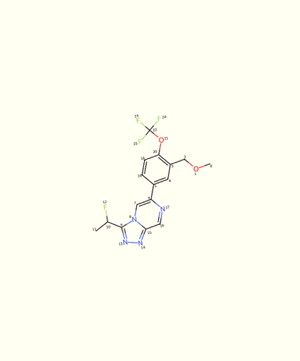 COCc1cc(-c2cn3c(C(C)F)nnc3cn2)ccc1OC(F)(F)F